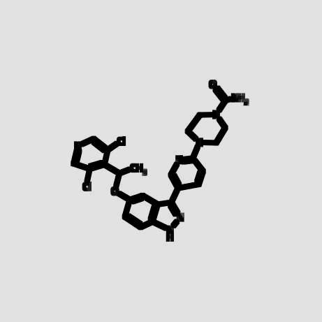 CC(Oc1ccc2[nH]nc(-c3ccc(N4CCN(C(N)=O)CC4)nc3)c2c1)c1c(Cl)cncc1Cl